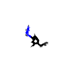 Cc1cc(N=[N+]=[N-])ccc1CC(C)C